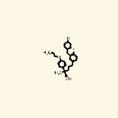 C#CC(C)(CCCc1ccc(F)c(Cc2ccc(Cl)cc2)c1)c1ccc(OCC=C)cc1